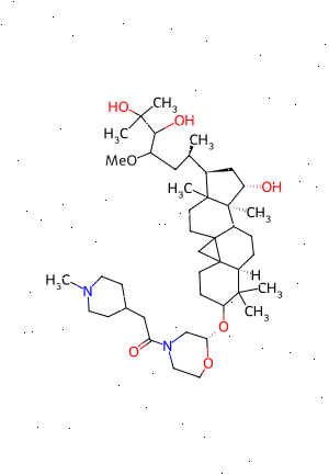 COC(C[C@@H](C)[C@H]1C[C@H](O)[C@@]2(C)C3CC[C@H]4C(C)(C)C(O[C@H]5CN(C(=O)CC6CCN(C)CC6)CCO5)CCC45CC35CCC12C)C(O)C(C)(C)O